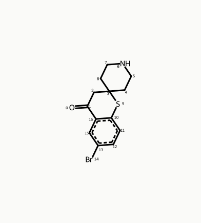 O=C1CC2(CCNCC2)Sc2ccc(Br)cc21